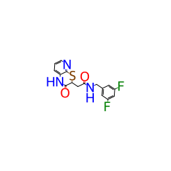 O=C(CC1Sc2ncccc2NC1=O)NCc1cc(F)cc(F)c1